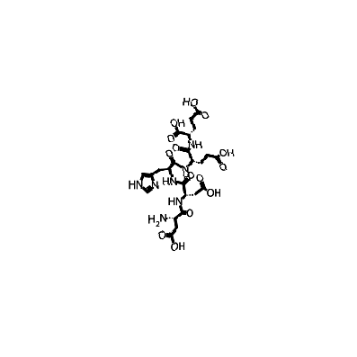 N[C@@H](CC(=O)O)C(=O)N[C@@H](CC(=O)O)C(=O)N[C@@H](Cc1c[nH]cn1)C(=O)N[C@@H](CCC(=O)O)C(=O)N[C@@H](CCC(=O)O)C(=O)O